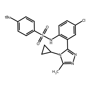 Cc1nnc(-c2cc(Cl)ccc2NS(=O)(=O)c2ccc(C(C)(C)C)cc2)n1C1CC1